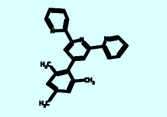 Cc1cc(C)c(-c2cc(-c3ccccn3)nc(-c3ccccn3)c2)c(C)c1